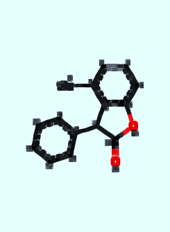 CC(C)(C)c1cccc2c1C(c1ccccc1)C(=O)O2